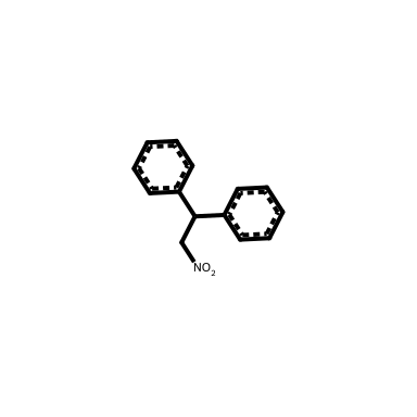 O=[N+]([O-])CC(c1ccccc1)c1ccccc1